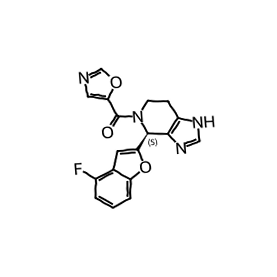 O=C(c1cnco1)N1CCc2[nH]cnc2[C@H]1c1cc2c(F)cccc2o1